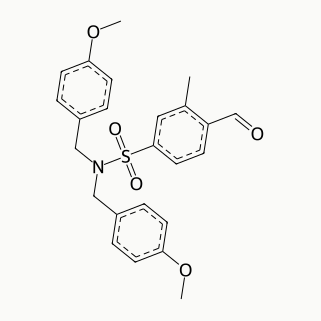 COc1ccc(CN(Cc2ccc(OC)cc2)S(=O)(=O)c2ccc(C=O)c(C)c2)cc1